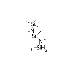 CC[SiH2]N(C)[Si](C)(C)N(C)[Si](C)(C)C